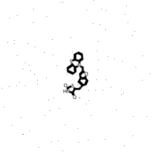 O=C1NC(=O)C(Cc2ccc3oc(CN4c5ccccc5Sc5ccccc54)cc3c2)S1